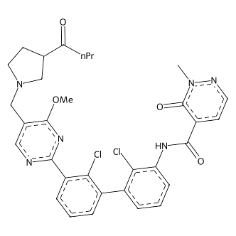 CCCC(=O)C1CCN(Cc2cnc(-c3cccc(-c4cccc(NC(=O)c5ccnn(C)c5=O)c4Cl)c3Cl)nc2OC)C1